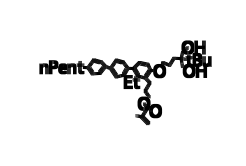 C=C(C)C(=O)OCCCc1cc(-c2ccc(-c3ccc(CCCCC)cc3)cc2CC)ccc1OCCCC(CO)(CO)C(C)(C)C